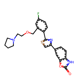 O=c1[nH]c2ccc(-c3csc(-c4ccc(F)cc4COCCN4CCCC4)n3)cc2o1